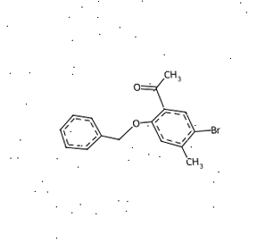 CC(=O)c1cc(Br)c(C)cc1OCc1ccccc1